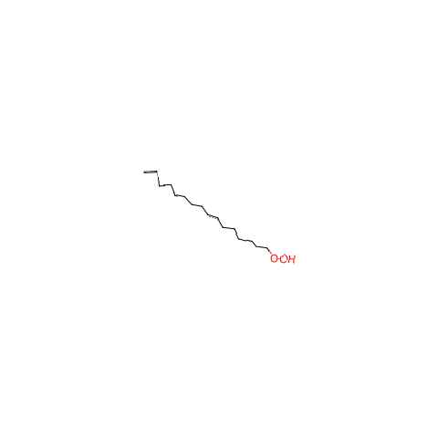 CCCCCCCCCCCCCCCCOO